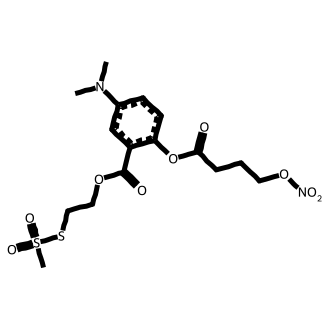 CN(C)c1ccc(OC(=O)CCCO[N+](=O)[O-])c(C(=O)OCCSS(C)(=O)=O)c1